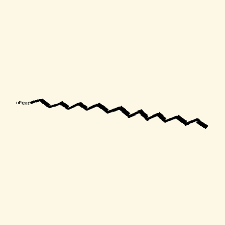 [CH]=C/C=C/C=C/C=C/C=C/C=C/C=C/C=C/C=C/CCCCC